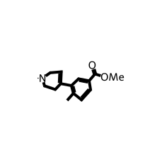 COC(=O)c1ccc(C)c(C2=CC[N]CC2)c1